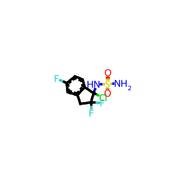 NS(=O)(=O)NC1(Cl)c2ccc(F)cc2CC1(F)F